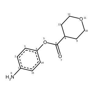 Nc1ccc(OC(=O)C2CCOCC2)cc1